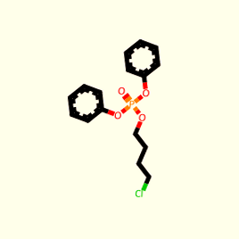 O=P(OCCCCCl)(Oc1ccccc1)Oc1ccccc1